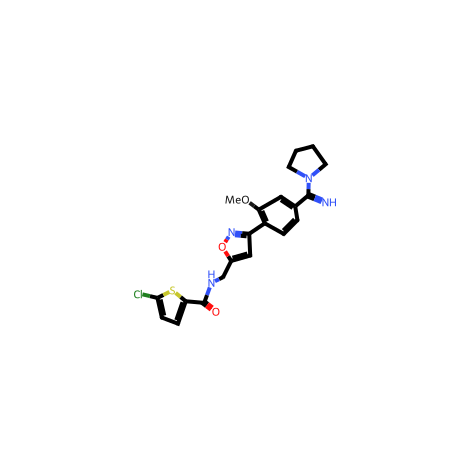 COc1cc(C(=N)N2CCCC2)ccc1-c1cc(CNC(=O)c2ccc(Cl)s2)on1